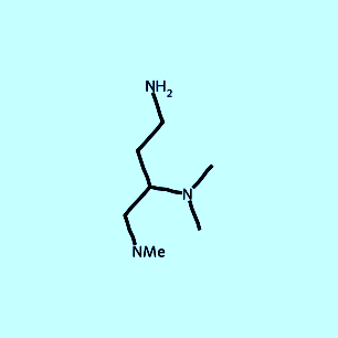 CNCC(CCN)N(C)C